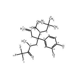 C=CCC(CN(C)C(=O)C(F)(F)F)(c1ccc(Cl)c(Cl)c1)N(CC(C)(C)C)C(=O)O